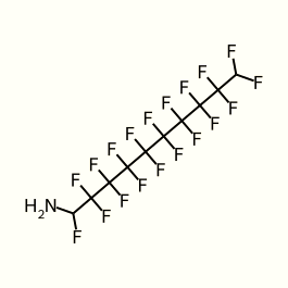 NC(F)C(F)(F)C(F)(F)C(F)(F)C(F)(F)C(F)(F)C(F)(F)C(F)(F)C(F)(F)C(F)F